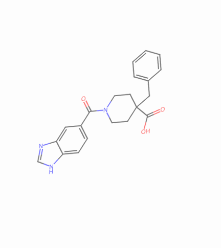 O=C(c1ccc2[nH]cnc2c1)N1CCC(Cc2ccccc2)(C(=O)O)CC1